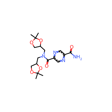 CC1(C)OCC(CN(CC2COC(C)(C)O2)C(=O)c2cnc(C(N)=O)cn2)O1